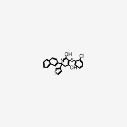 OC1=NC(c2ccsc2)(c2ccc3ccccc3c2)CC(O)=C1Sc1ccccc1Cl